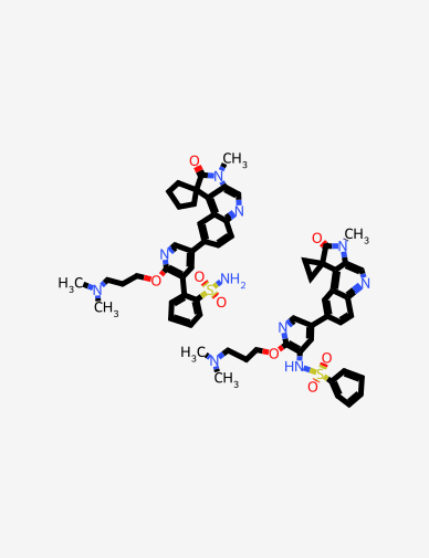 CN(C)CCCOc1ncc(-c2ccc3ncc4c(c3c2)C2(CC2)C(=O)N4C)cc1NS(=O)(=O)c1ccccc1.CN(C)CCCOc1ncc(-c2ccc3ncc4c(c3c2)C2(CCCC2)C(=O)N4C)cc1-c1ccccc1S(N)(=O)=O